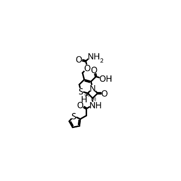 NC(=O)OCC1=C(C(=O)O)N2C(=O)[C@@H](NC(=O)Cc3cccs3)[C@@H]2SC1